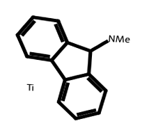 [CH2]NC1c2ccccc2-c2ccccc21.[Ti]